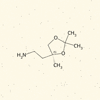 CC1(C)OC[C@](C)(CCN)O1